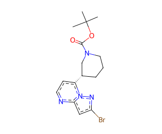 CC(C)(C)OC(=O)N1CCC[C@H](c2ccnc3cc(Br)nn23)C1